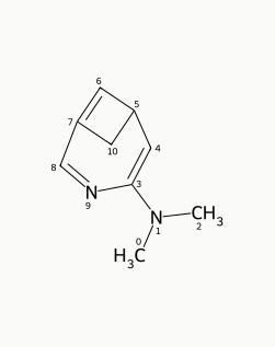 CN(C)C1=CC2C=C(C=N1)C2